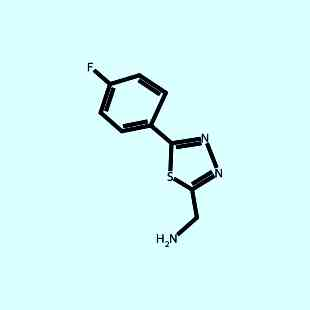 NCc1nnc(-c2ccc(F)cc2)s1